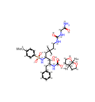 COc1ccc(S(=O)(=O)NC(CC(C)(C)CCNC(=O)NCC(N)=O)[C@H](O)[C@H](Cc2ccccc2)NC(=O)O[C@@H]2CO[C@@H]3OCC[C@@H]32)cc1